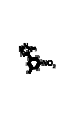 Cc1cc(-c2nnnn2C)cc([N+](=O)[O-])c1